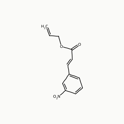 C=CCOC(=O)C=Cc1cccc([N+](=O)[O-])c1